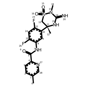 Cc1ccc(C(=O)Nc2cc([C@]3(C)CS(=O)(=O)N(C)C(=N)N3)c(F)cc2F)nc1